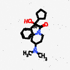 CN(C)C1CCN(C(=O)[C@](O)(c2ccccc2)C2CCCC2)CC1